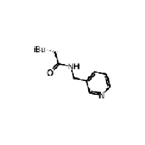 CC[C@@H](C)[CH]C(=O)NCc1cccnc1